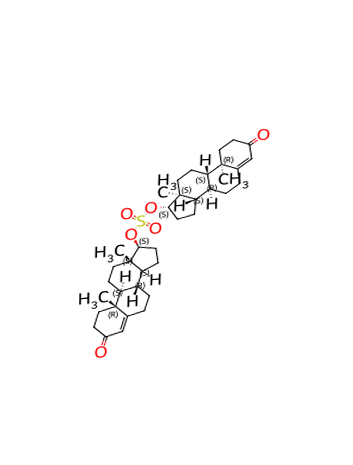 C[C@]12CC[C@H]3[C@@H](CCC4=CC(=O)CC[C@@]43C)[C@@H]1CC[C@@H]2OS(=O)(=O)O[C@H]1CC[C@H]2[C@@H]3CCC4=CC(=O)CC[C@]4(C)[C@H]3CC[C@]12C